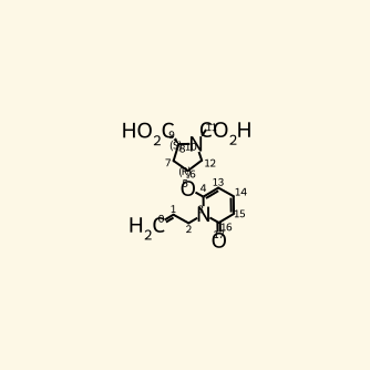 C=CCn1c(O[C@@H]2C[C@@H](C(=O)O)N(C(=O)O)C2)cccc1=O